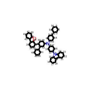 c1ccc(-c2ccc(N(c3ccc(-n4c5ccccc5c5ccccc54)cc3)c3ccc(-c4cccc5c4oc4ccccc45)c(-c4ccccc4)c3)cc2)cc1